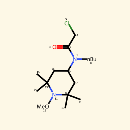 CCCCN(C(=O)CCl)C1CC(C)(C)N(OC)C(C)(C)C1